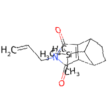 C=CCN1C(=O)C2=C(C1=O)C1CCC2C1[Si](C)(C)C